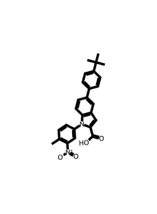 Cc1ccc(-n2c(C(=O)O)cc3cc(-c4ccc(C(C)(C)C)cc4)ccc32)cc1[N+](=O)[O-]